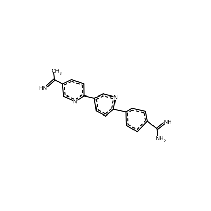 CC(=N)c1ccc(-c2ccc(-c3ccc(C(=N)N)cc3)nc2)nc1